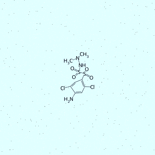 CN(C)NS(=O)(=O)S(=O)(=O)c1cc(Cl)c(N)cc1Cl